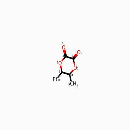 CCC1OC(=O)C(=O)OC1C